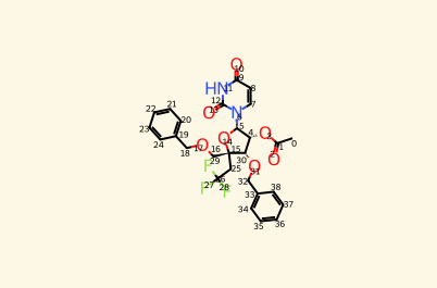 CC(=O)O[C@H]1[C@H](n2ccc(=O)[nH]c2=O)O[C@@](COCc2ccccc2)(CC(F)(F)F)[C@H]1OCc1ccccc1